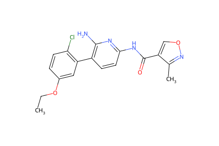 CCOc1ccc(Cl)c(-c2ccc(NC(=O)c3conc3C)nc2N)c1